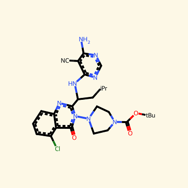 CC(C)CC(Nc1ncnc(N)c1C#N)c1nc2cccc(Cl)c2c(=O)n1N1CCN(C(=O)OC(C)(C)C)CC1